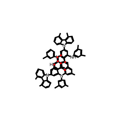 Cc1cc(C)cc(Nc2cc(-n3c4cccc(C)c4c4c(C)cccc43)cc(N(c3cccc(C)c3)c3cc(C)cc(C)c3)c2-c2cccc(-c3c(Nc4cc(C)cc(C)c4)cc(-n4c5cccc(C)c5c5c(C)cccc54)cc3N(c3cccc(C)c3)c3cc(C)cc(C)c3)c2)c1